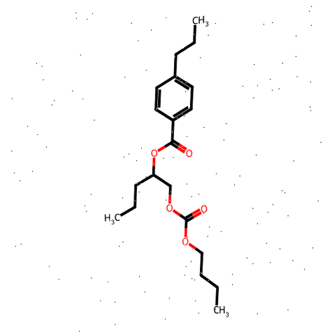 CCCCOC(=O)OCC(CCC)OC(=O)c1ccc(CCC)cc1